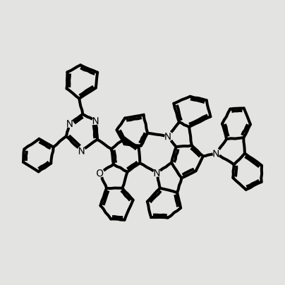 c1ccc(-c2nc(-c3ccccc3)nc(-c3ccc(-n4c5ccccc5c5cc(-n6c7ccccc7c7ccccc76)c6c7ccccc7n(-c7ccccc7)c6c54)c4c3oc3ccccc34)n2)cc1